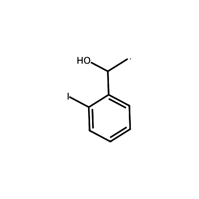 [CH2]C(O)c1ccccc1I